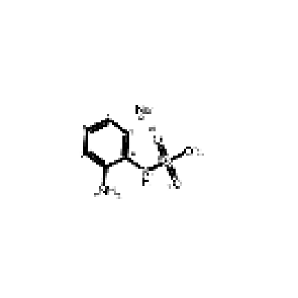 Nc1ccccc1NS(=O)(=O)[O-].[Na+]